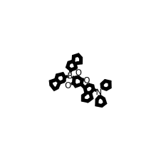 c1ccc(N(c2ccccc2)c2cc3oc4c5c6c(cc4c3c3ccccc23)Oc2c(ccc3ccccc23)B6c2ccc3ccccc3c2O5)cc1